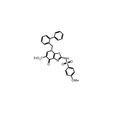 CCOC(=O)c1cn(Cc2ccccc2-c2ccccc2)c2sc(NS(=O)(=O)c3ccc(OC)cc3)nc2c1=O